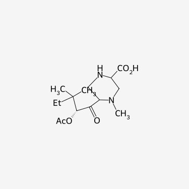 CCC(C)(C)[C@@H](OC(C)=O)C(=O)C1CNC(C(=O)O)CN1C